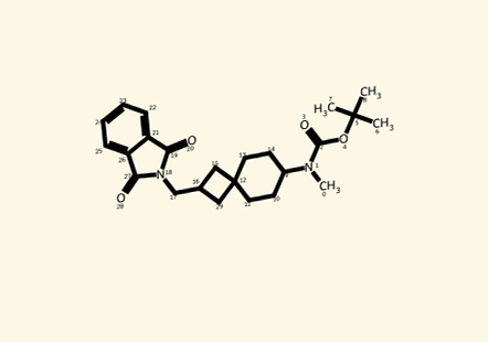 CN(C(=O)OC(C)(C)C)C1CCC2(CC1)CC(CN1C(=O)c3ccccc3C1=O)C2